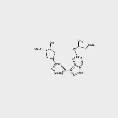 COC[C@H](C)Oc1ccc2[nH]nc(-c3cc(N4C[C@H](OC)[C@@H](O)C4)ncn3)c2c1